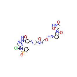 COc1cc(N2CCC(NC(=O)CCOCCNc3cccc4c3CN(C3CCC(=O)NC3=O)C4=O)CC2)ccc1Nc1ncc(Cl)c(Nc2ccccc2P(C)(C)=O)n1